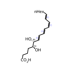 CCCCCC/C=C/C=C\C=C\C=C\[C@@H](O)[C@@H](O)CCCC(=O)O